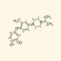 [CH2]c1cc(N2CCN(C(C)C)CC2)ccc1Oc1ccc(Cl)c(Cl)c1